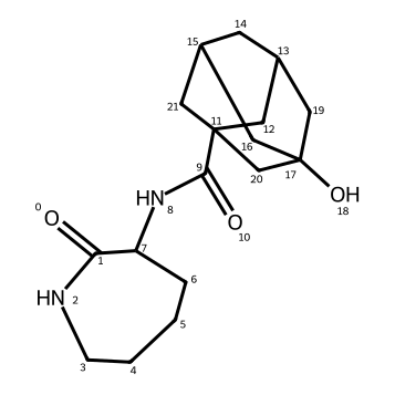 O=C1NCCCCC1NC(=O)C12CC3CC(CC(O)(C3)C1)C2